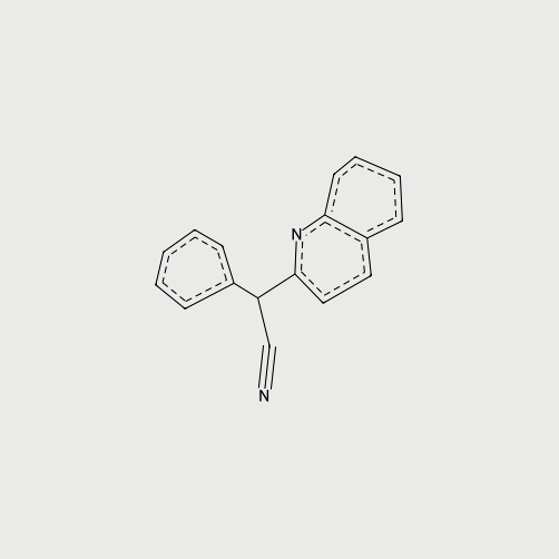 N#CC(c1ccccc1)c1ccc2ccccc2n1